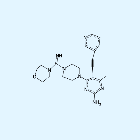 Cc1nc(N)nc(N2CCN(C(=N)N3CCOCC3)CC2)c1C#Cc1cccnc1